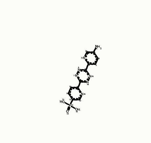 Nc1ccc(-c2nnc(-c3ccc(P(=O)(O)O)cn3)nn2)nc1